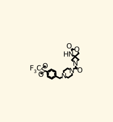 O=C1NC2(CO1)CN(C(=O)N1CCN(Cc3ccc(S(=O)(=O)C(F)(F)F)cc3)CC1)C2